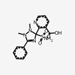 CN1C(c2ccccc2)=NC(c2ncccc2C(=O)O)(S(N)(=O)=O)N1C